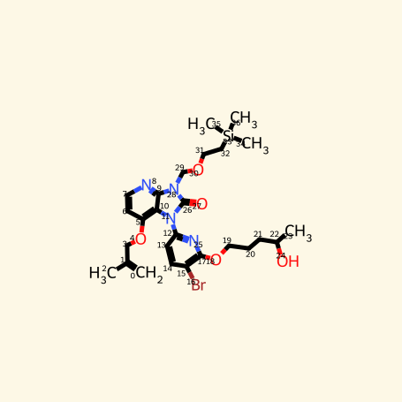 C=C(C)COc1ccnc2c1n(-c1ccc(Br)c(OCCCC(C)O)n1)c(=O)n2COCC[Si](C)(C)C